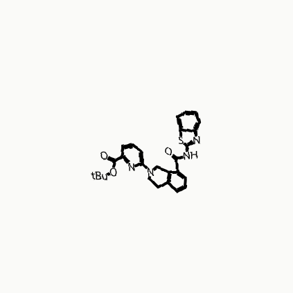 CC(C)(C)OC(=O)c1cccc(N2CCc3cccc(C(=O)Nc4nc5ccccc5s4)c3C2)n1